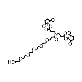 C#CCOCCOCCOCCOCCOCCC(=O)N(CCC(=O)ON1C(=O)CCC1=O)CCC(=O)ON1C(=O)CCC1=O